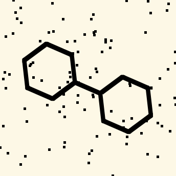 [CH]1CCCC(C2CCCCC2)C1